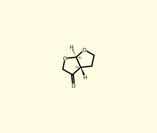 O=C1CO[C@H]2OCC[C@H]12